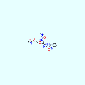 COc1nc2ccccc2cc1-c1cnc(C(CNC(=O)CN(C)C)COCCCC(=O)c2ncco2)[nH]1